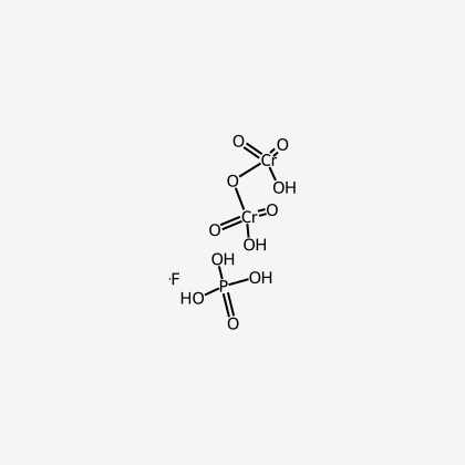 O=P(O)(O)O.[F].[O]=[Cr](=[O])([OH])[O][Cr](=[O])(=[O])[OH]